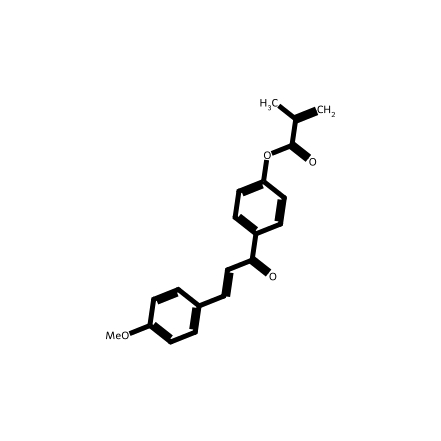 C=C(C)C(=O)Oc1ccc(C(=O)C=Cc2ccc(OC)cc2)cc1